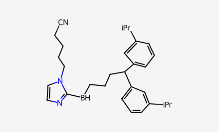 CC(C)c1cccc(C(CCCBc2nccn2CCCCC#N)c2cccc(C(C)C)c2)c1